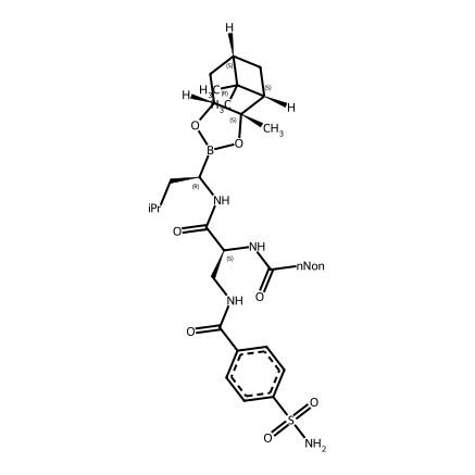 CCCCCCCCCC(=O)N[C@@H](CNC(=O)c1ccc(S(N)(=O)=O)cc1)C(=O)N[C@@H](CC(C)C)B1O[C@@H]2C[C@@H]3C[C@@H](C3(C)C)[C@]2(C)O1